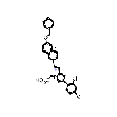 O=C(O)Cn1cc(-c2ccc(Cl)cc2Cl)cc1/C=C/c1ccc2cc(OCc3ccccc3)ccc2c1